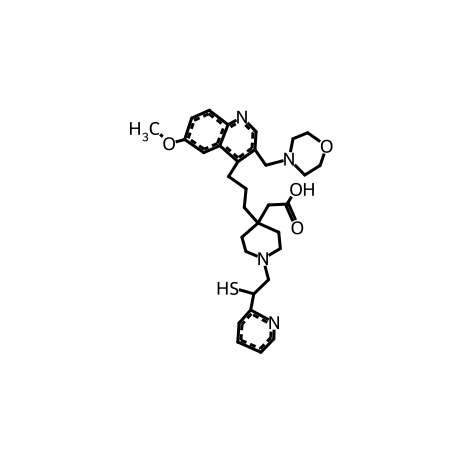 COc1ccc2ncc(CN3CCOCC3)c(CCCC3(CC(=O)O)CCN(CC(S)c4ccccn4)CC3)c2c1